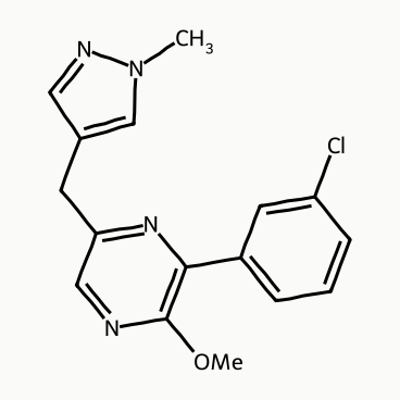 COc1ncc(Cc2cnn(C)c2)nc1-c1cccc(Cl)c1